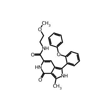 COCCNC(=O)c1cc2c(-c3ccccc3Oc3ccccc3)[nH]c(C)c2c(=O)[nH]1